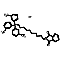 O=C1c2ccccc2C(=O)N1CCCCCCCCCC[P+](c1cccc(C(F)(F)F)c1)(c1cccc(C(F)(F)F)c1)c1cccc(C(F)(F)F)c1.[Br-]